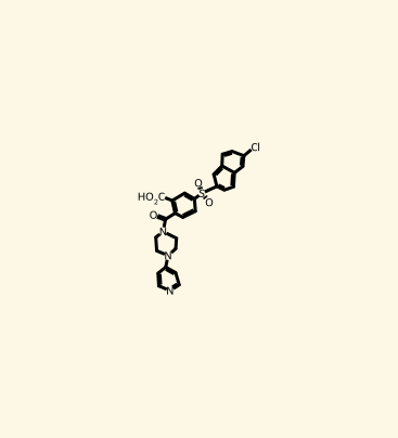 O=C(O)c1cc(S(=O)(=O)c2ccc3cc(Cl)ccc3c2)ccc1C(=O)N1CCN(c2ccncc2)CC1